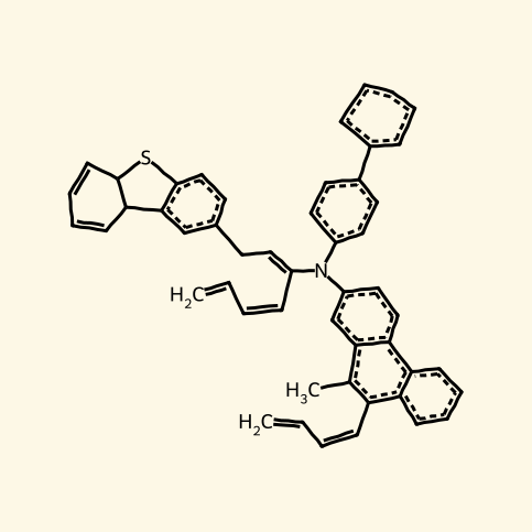 C=C/C=C\C(=C/Cc1ccc2c(c1)C1C=CC=CC1S2)N(c1ccc(-c2ccccc2)cc1)c1ccc2c(c1)c(C)c(/C=C\C=C)c1ccccc12